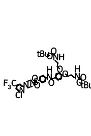 CC(C)(C)OC(=O)NCCCOc1ccc(C(=O)Nc2ccc(S(=O)(=O)N3CCN(c4cc(C(F)(F)F)cc(Cl)n4)CC3)cc2)cc1OCCCNC(=O)OC(C)(C)C